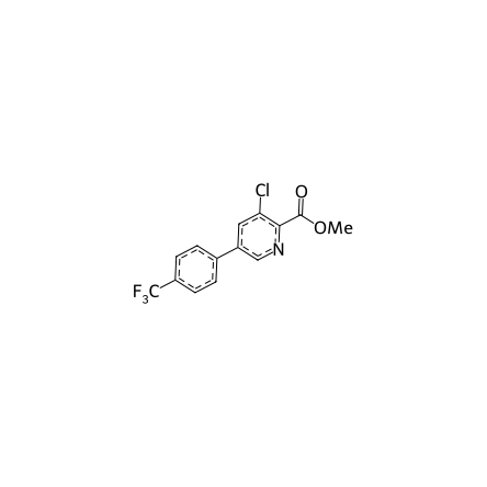 COC(=O)c1ncc(-c2ccc(C(F)(F)F)cc2)cc1Cl